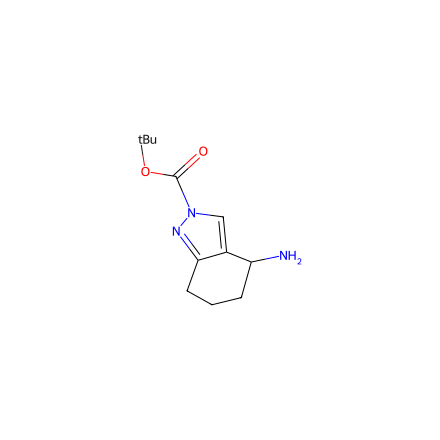 CC(C)(C)OC(=O)n1cc2c(n1)CCCC2N